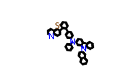 c1ccc(N(c2ccc(-c3cccc4sc5c6cccnc6ccc5c34)cc2)c2ccc3c4ccccc4n(-c4ccc5ccccc5c4)c3c2)cc1